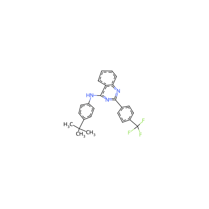 CC(C)(C)c1ccc(Nc2nc(-c3ccc(C(F)(F)F)cc3)nc3ccccc23)cc1